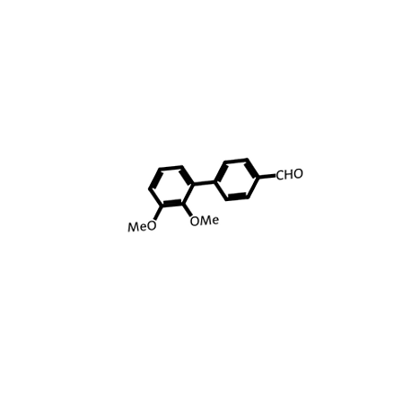 COc1cccc(-c2ccc(C=O)cc2)c1OC